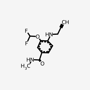 C#CCNc1ccc(C(=O)NC)cc1OC(F)F